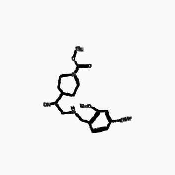 COc1ccc(CNCC(N=O)C2CCN(C(=O)OC(C)(C)C)CC2)c(OC)c1